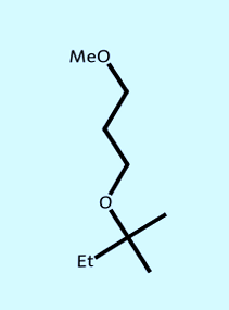 CCC(C)(C)OCCCOC